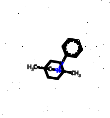 CC12CCC(C)(CC1)N(c1ccccc1)C2